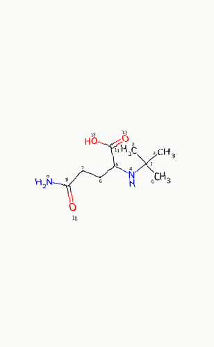 CC(C)(C)NC(CCC(N)=O)C(=O)O